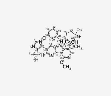 [2H]C([2H])([2H])c1ncn(C)c1-c1cnc2c3c(OC)ncc(C(C)(C)O)c3n(C(c3ccccc3)C3CCC(F)(F)CC3)c2c1